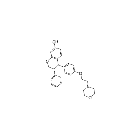 Oc1ccc2c(c1)OCC(c1ccccc1)C2c1ccc(OCCN2CCOCC2)cc1